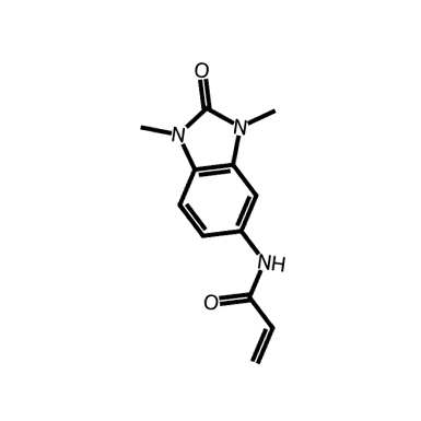 C=CC(=O)Nc1ccc2c(c1)n(C)c(=O)n2C